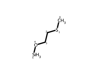 CSCCO[SiH3]